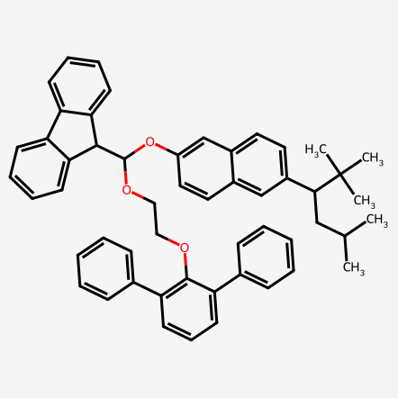 CC(C)CC(c1ccc2cc(OC(OCCOc3c(-c4ccccc4)cccc3-c3ccccc3)C3c4ccccc4-c4ccccc43)ccc2c1)C(C)(C)C